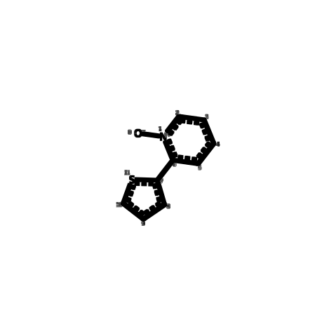 [O-][n+]1ccccc1-c1cccs1